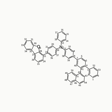 c1ccc(-c2ccc(-c3ccc(N(c4ccccc4)c4ccc(-c5cccc6c5oc5ccccc56)cc4)cc3)cc2-c2cccc3ccccc23)cc1